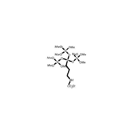 CCOC(=O)NCCC[Si](O[Si](OC)(OC)OC)(O[Si](OC)(OC)OC)O[Si](OC)(OC)OC